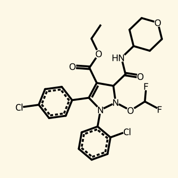 CCOC(=O)C1=C(c2ccc(Cl)cc2)N(c2ccccc2Cl)N(OC(F)F)C1C(=O)NC1CCOCC1